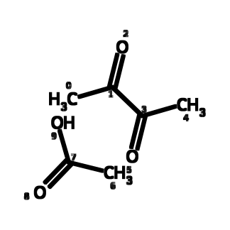 CC(=O)C(C)=O.CC(=O)O